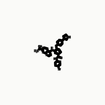 CC(C)c1ccc2c(Nc3cc(C(=O)Nc4ccc(Br)cn4)ccc3Sc3ccc(-c4cc[nH]c4)cc3)ncnc2n1